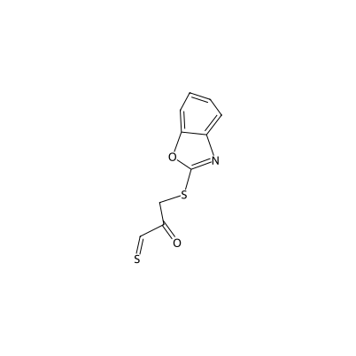 O=C(C=S)CSc1nc2ccccc2o1